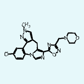 Cn1cc2c(n1)-c1cc(Cl)ccc1-n1cnc(-c3nc(CN4CCOCC4)no3)c1C2